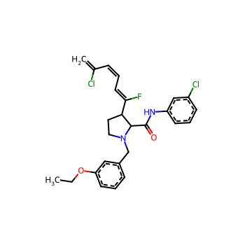 C=C(Cl)/C=C\C=C(/F)C1CCN(Cc2cccc(OCC)c2)C1C(=O)Nc1cccc(Cl)c1